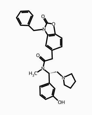 CN(C(=O)Cc1ccc2oc(=O)n(Cc3ccccc3)c2c1)[C@H](CN1CCCC1)c1cccc(O)c1